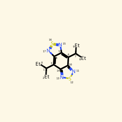 CCC(CC)c1c2c(c(C(CC)CC)c3nsnc13)N=S=N2